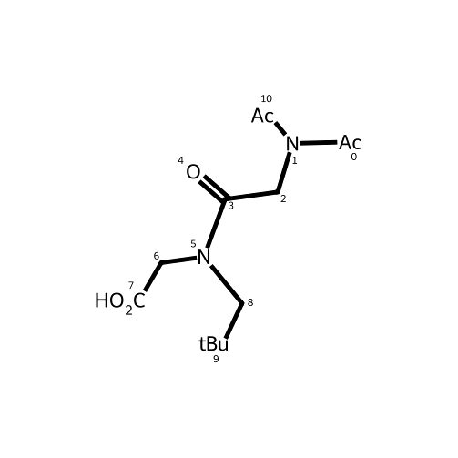 CC(=O)N(CC(=O)N(CC(=O)O)CC(C)(C)C)C(C)=O